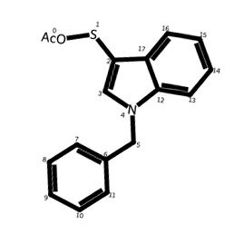 CC(=O)OSc1cn(Cc2ccccc2)c2ccccc12